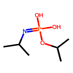 CC(C)N=P(O)(O)OC(C)C